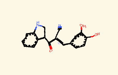 N#C/C(=C\c1ccc(O)c(O)c1)C(=O)C1CNc2ccccc21